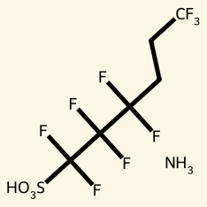 N.O=S(=O)(O)C(F)(F)C(F)(F)C(F)(F)CCC(F)(F)F